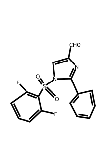 O=Cc1cn(S(=O)(=O)c2c(F)cccc2F)c(-c2ccccc2)n1